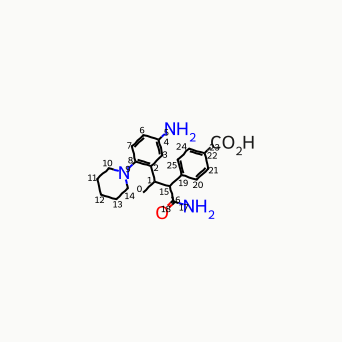 CC(c1cc(N)ccc1N1CCCCC1)C(C(N)=O)c1ccc(C(=O)O)cc1